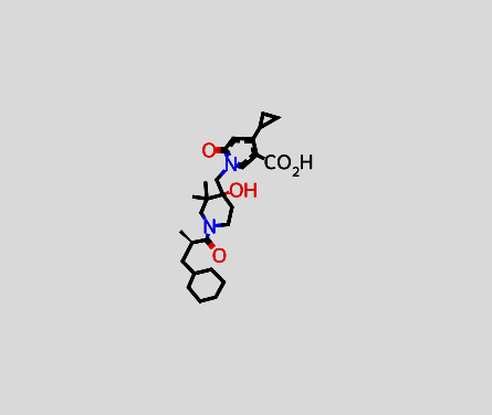 C[C@H](CC1CCCCC1)C(=O)N1CC[C@@](O)(Cn2cc(C(=O)O)c(C3CC3)cc2=O)C(C)(C)C1